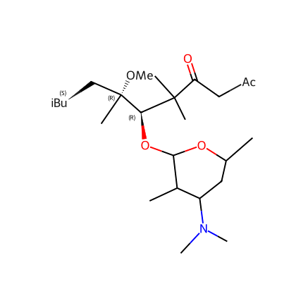 CC[C@H](C)C[C@@](C)(OC)[C@H](OC1OC(C)CC(N(C)C)C1C)C(C)(C)C(=O)CC(C)=O